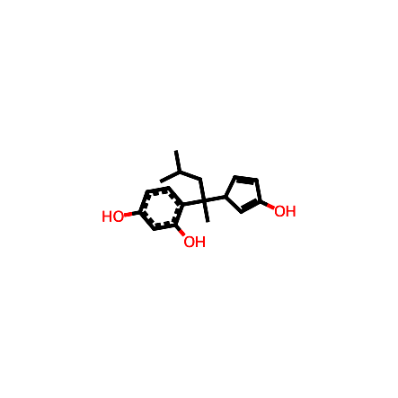 CC(C)CC(C)(c1ccc(O)cc1O)C1C=CC(O)=C1